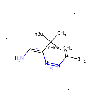 BC(=C)/N=N\C(=C/N)C(C)(CCCC)CCCCCC